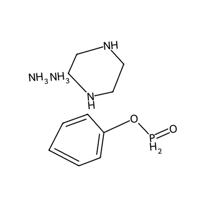 C1CNCCN1.N.N.O=[PH2]Oc1ccccc1